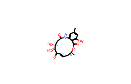 Cc1cc(O)c2c(c1)NC(=O)C[C@H](O)[C@H](O)C(=O)/C=C/C[C@H](C)OC2=O